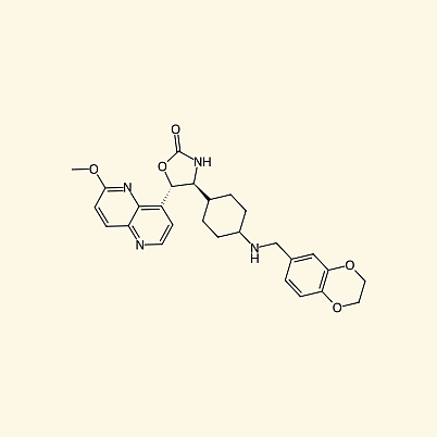 COc1ccc2nccc([C@@H]3OC(=O)N[C@H]3C3CCC(NCc4ccc5c(c4)OCCO5)CC3)c2n1